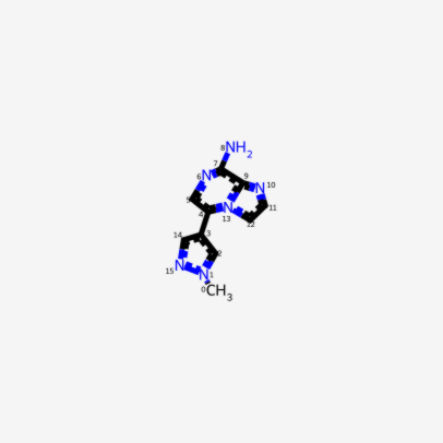 Cn1cc(-c2cnc(N)c3nccn23)cn1